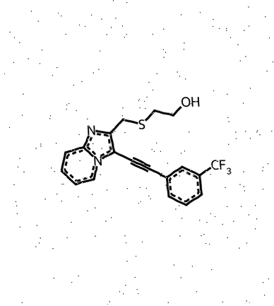 OCCSCc1nc2ccccn2c1C#Cc1cccc(C(F)(F)F)c1